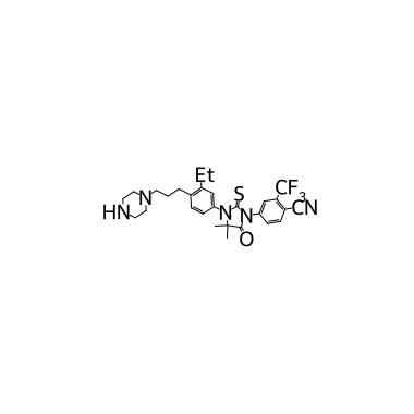 CCc1cc(N2C(=S)N(c3ccc(C#N)c(C(F)(F)F)c3)C(=O)C2(C)C)ccc1CCCN1CCNCC1